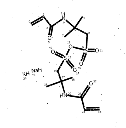 C=CC(=O)NC(C)(C)CS(=O)(=O)OS(=O)(=O)CC(C)(C)NC(=O)C=C.[KH].[NaH]